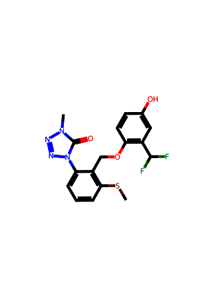 CSc1cccc(-n2nnn(C)c2=O)c1COc1ccc(O)cc1C(F)F